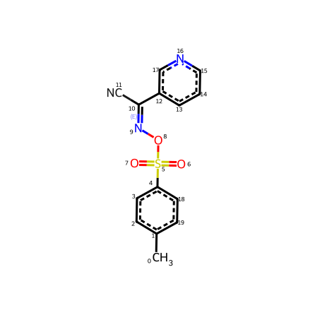 Cc1ccc(S(=O)(=O)O/N=C(/C#N)c2cccnc2)cc1